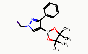 CC1(C)OB(c2cn(CI)nc2-c2ccccc2)OC1(C)C